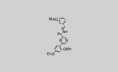 CCOc1ccc(-c2cncc(C(=O)NN=Cc3cccc(OC)c3)n2)c(OC)c1